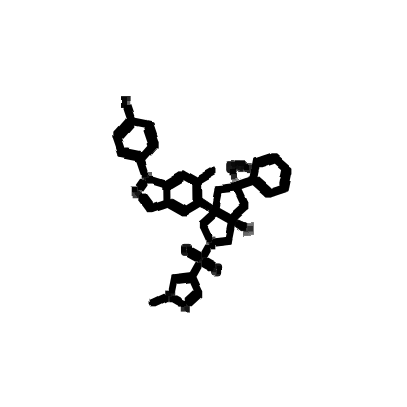 CO[C@]1(c2ccccc2)C[C@@H]2CN(S(=O)(=O)c3cnn(C)c3)C[C@]2(c2cc3cnn(-c4ccc(F)cc4)c3cc2C)C1